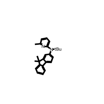 Cc1cccc(N(c2ccc3c(c2)C(C)(C)c2ccccc2-3)C(C)(C)C)n1